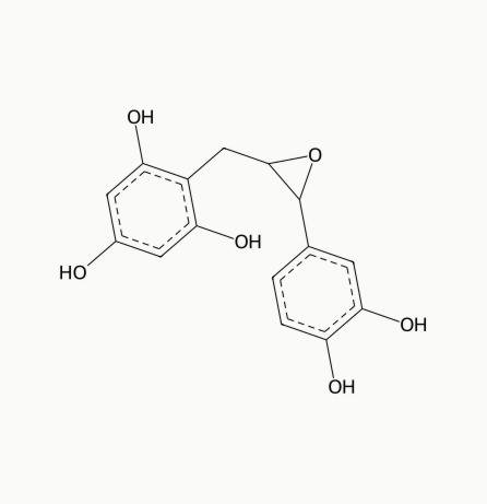 Oc1cc(O)c(CC2OC2c2ccc(O)c(O)c2)c(O)c1